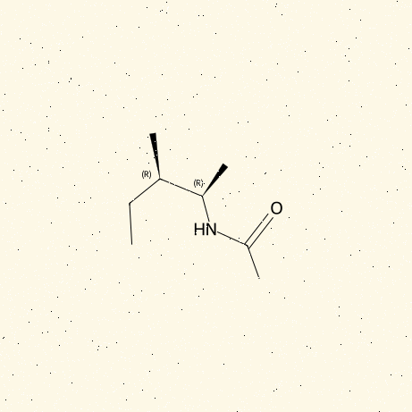 CC[C@@H](C)[C@@H](C)NC(C)=O